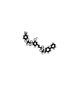 COc1cc(C=CC(=O)OC(C)(C)Oc2ccc(-c3ccccc3)cc2)ccc1OC(=O)C(C)(C)Oc1ccc(Br)cc1